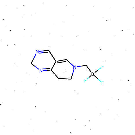 F[B-](F)(F)CN1C=C2C=NCN=C2CC1